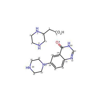 O=C(O)CC1CNCCN1.O=c1[nH]cnc2ccc(N3CCNCC3)cc12